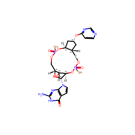 Nc1nc2c(ccn2[C@@H]2O[C@@H]3COP(=O)(S)O[C@H]4C[C@H](Oc5ccncn5)C[C@@H]4COP(=O)(S)O[C@@H]2[C@@H]3O)c(=O)[nH]1